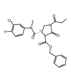 CCC(=O)N1C[C@@H](C(=O)N(C)c2ccc(F)c(Cl)c2)N(C(=O)OCc2ccccc2)C1=O